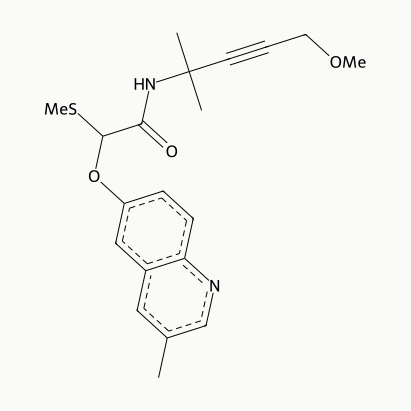 COCC#CC(C)(C)NC(=O)C(Oc1ccc2ncc(C)cc2c1)SC